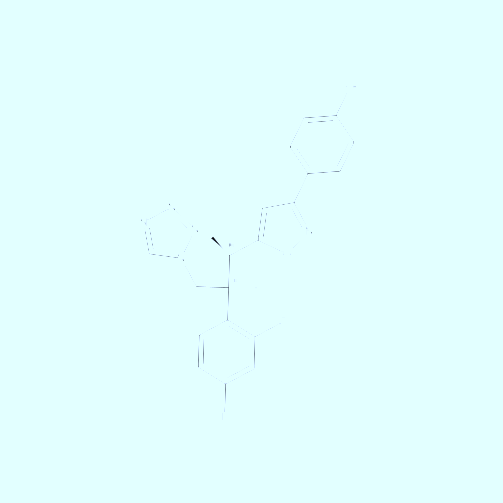 C[C@@H](c1cc(-c2ccc(O)cc2)no1)[C@](O)(Cn1cnnn1)c1ccc(F)cc1F